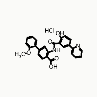 COc1ccccc1-c1ccc(C(=O)O)c(NC(=O)c2cc(-c3ccccn3)ccc2O)c1.Cl